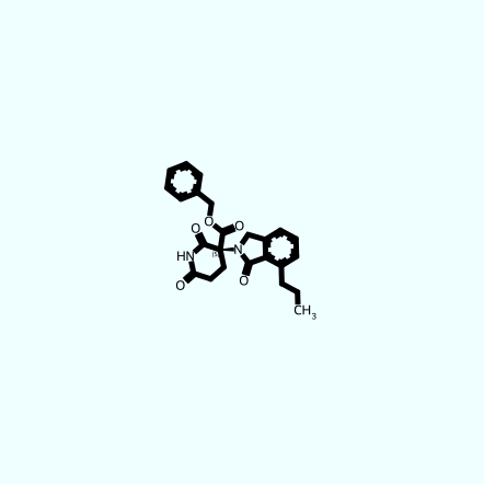 CCCc1cccc2c1C(=O)N([C@@]1(C(=O)OCc3ccccc3)CCC(=O)NC1=O)C2